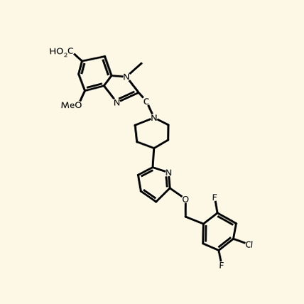 COc1cc(C(=O)O)cc2c1nc(CN1CCC(c3cccc(OCc4cc(F)c(Cl)cc4F)n3)CC1)n2C